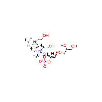 CC=COP(=O)([O-])[O-].C[N+](C)(C)CCO.C[N+](C)(C)CCO.OCC(O)CO